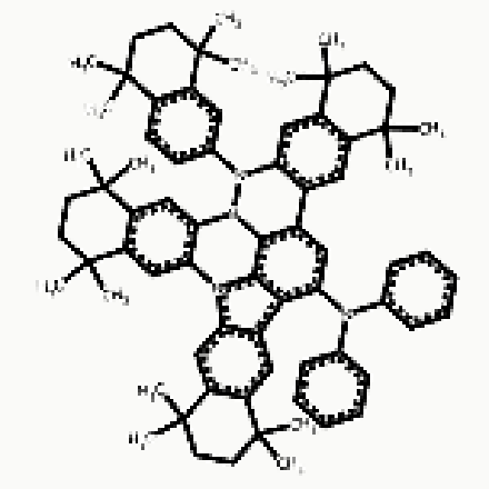 CC1(C)CCC(C)(C)c2cc(N3B4c5cc6c(cc5-n5c7cc8c(cc7c7c(N(c9ccccc9)c9ccccc9)cc(c4c75)-c4cc5c(cc43)C(C)(C)CCC5(C)C)C(C)(C)CCC8(C)C)C(C)(C)CCC6(C)C)ccc21